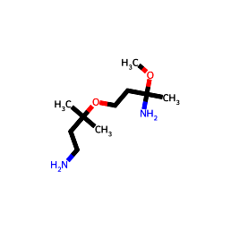 COC(C)(N)CCOC(C)(C)CCN